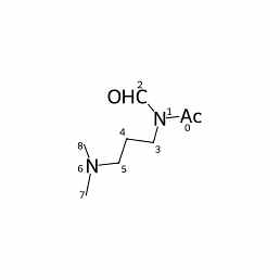 CC(=O)N(C=O)CCCN(C)C